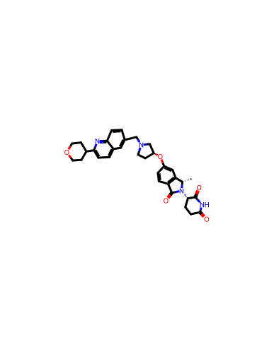 C[C@H]1c2cc(O[C@H]3CCN(Cc4ccc5nc(C6CCOCC6)ccc5c4)C3)ccc2C(=O)N1[C@H]1CCC(=O)NC1=O